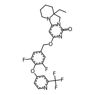 CCC12CCCCN1c1cc(OCc3cc(F)c(Oc4ccnc(C(F)(F)F)c4)c(F)c3)nc(=O)n1C2